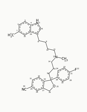 Cc1ccc2[nH]cc(CCCCN(C)CCCC3(c4ccc(F)cc4)OCc4cc(C#N)ccc43)c2c1